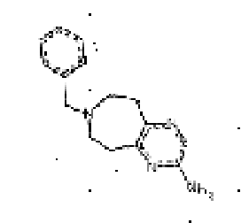 Nc1cnc2c(n1)CCN(Cc1ccccc1)CC2